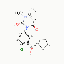 Cn1c(C(F)(F)F)cc(=O)n(-c2ccc(Cl)c(C(=O)C3CCCC3)c2)c1=O